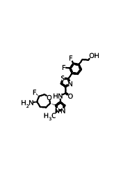 Cn1ncc(NC(=O)c2csc(-c3ccc(CCO)c(F)c3F)n2)c1[C@@H]1CC[C@@H](N)[C@H](F)CO1